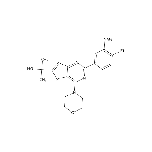 CCc1ccc(-c2nc(N3CCOCC3)c3sc(C(C)(C)O)cc3n2)cc1NC